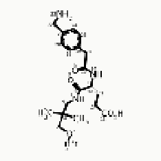 CCCOCC(C)(C)CNC(=O)[C@@H](CCC(=O)O)NC(=O)Cc1ccc(CN)cc1